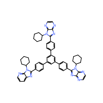 c1cnc2c(c1)nc(-c1ccc(-c3cc(-c4ccc(-c5nc6nccnc6n5C5CCCCC5)cc4)cc(-c4ccc(-c5nc6nccnc6n5C5CCCCC5)cc4)c3)cc1)n2C1CCCCC1